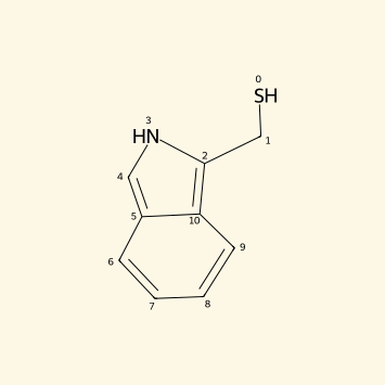 SCc1[nH]cc2ccccc12